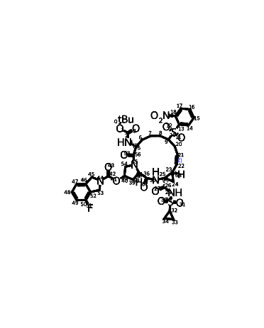 CC(C)(C)OC(=O)N[C@H]1CCCC(S(=O)(=O)c2ccccc2[N+](=O)[O-])C/C=C\[C@@H]2C[C@@]2(C(=O)NS(=O)(=O)C2CC2)NC(=O)[C@@H]2C[C@@H](OC(=O)N3Cc4cccc(F)c4C3)CN2C1=O